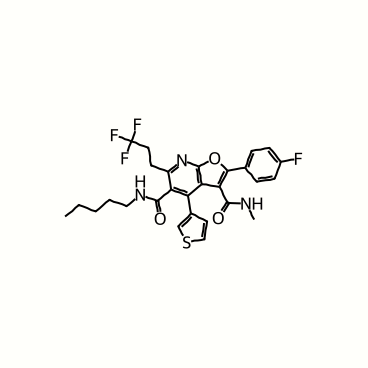 CCCCCNC(=O)c1c(CCC(F)(F)F)nc2oc(-c3ccc(F)cc3)c(C(=O)NC)c2c1-c1ccsc1